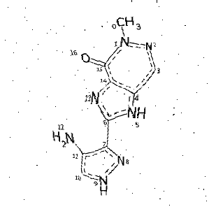 Cn1ncc2[nH]c(-c3n[nH]cc3N)nc2c1=O